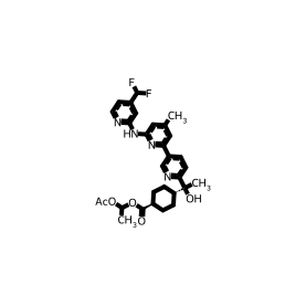 CC(=O)OC(C)OC(=O)[C@H]1CC[C@H](C(C)(O)c2ccc(-c3cc(C)cc(Nc4cc(C(F)F)ccn4)n3)cn2)CC1